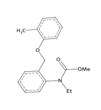 CCN(C(=O)OC)c1ccccc1COc1ccccc1C